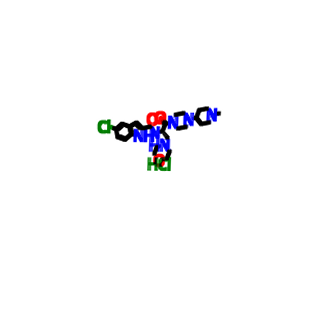 CN1CCC(N2CCN(C(=O)[C@@H](CN3CCOCC3)NC(=O)c3cc4cc(Cl)ccc4[nH]3)CC2)CC1.Cl